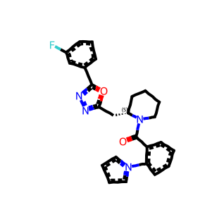 O=C(c1ccccc1-n1cccc1)N1CCCC[C@H]1Cc1nnc(-c2cccc(F)c2)o1